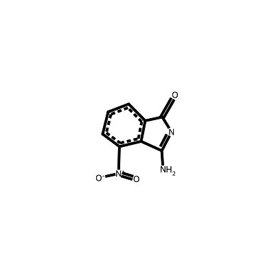 NC1=NC(=O)c2cccc([N+](=O)[O-])c21